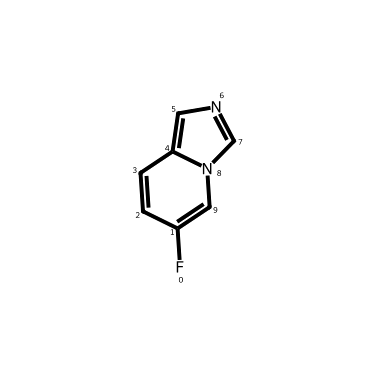 Fc1ccc2cncn2c1